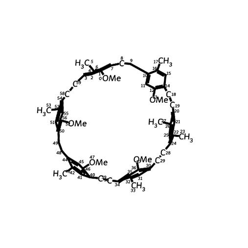 COc1cc2c(C)cc1CCc1cc(OC)c(cc1C)CCc1cc(C)c(cc1C)CCc1cc(C)c(cc1OC)CCc1cc(C)c(cc1OC)CCc1cc(C)c(cc1OC)CC2